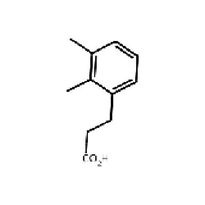 Cc1cccc(CCC(=O)O)c1C